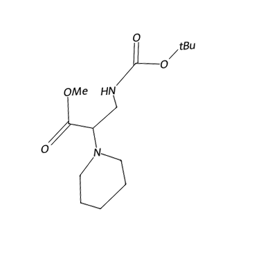 COC(=O)C(CNC(=O)OC(C)(C)C)N1CCCCC1